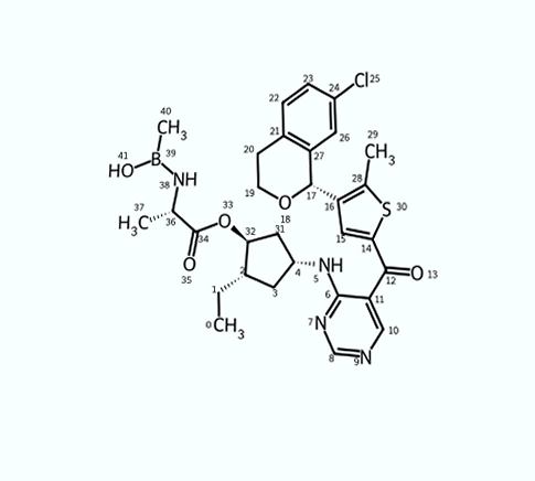 CC[C@H]1C[C@@H](Nc2ncncc2C(=O)c2cc([C@@H]3OCCc4ccc(Cl)cc43)c(C)s2)C[C@@H]1OC(=O)[C@H](C)NB(C)O